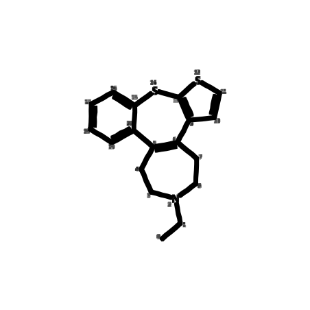 CCN1CCC2=C(CC1)c1ccsc1Sc1ccccc12